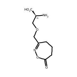 N[C@@H](COCC1=NOC(=O)CCC1)C(=O)O